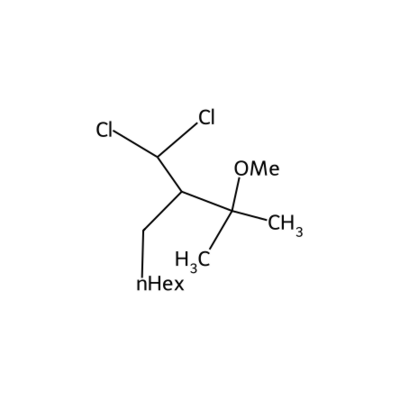 CCCCCCCC(C(Cl)Cl)C(C)(C)OC